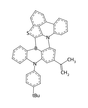 C=C(C)c1cc2c3c(c1)N1c4ccccc4-c4cccc5sc(c1c45)B3c1ccccc1N2c1ccc(C(C)(C)C)cc1